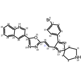 Brc1ccc(C2=NC3(CCNCC3)N=C2/C=C/c2nnc(-c3cnc4ccccc4c3)o2)cc1